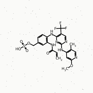 C=CC(=O)Nc1cc(COS(=O)(=O)O)ccc1Nc1nc(Nc2cc(OC)ncc2C)ncc1C(F)(F)F